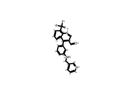 O=Cc1cnc2c(C(F)(F)F)cccc2c1-c1cccc(NCc2cccnc2)c1